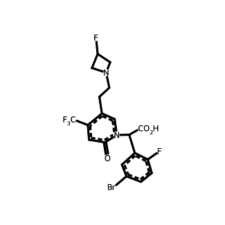 O=C(O)C(c1cc(Br)ccc1F)n1cc(CCN2CC(F)C2)c(C(F)(F)F)cc1=O